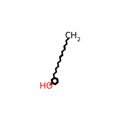 C=CCCC=CCC=CCCCCCCc1cccc(O)c1